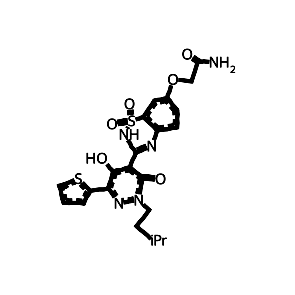 CC(C)CCn1nc(-c2cccs2)c(O)c(C2=Nc3ccc(OCC(N)=O)cc3S(=O)(=O)N2)c1=O